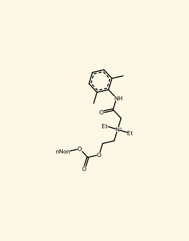 CCCCCCCCCOC(=O)OCC[N+](CC)(CC)CC(=O)Nc1c(C)cccc1C